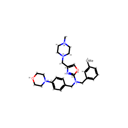 COc1cccc(CN(Cc2ccc(N3CCOCC3)cc2)c2nc(CN3CCN(C)CC3)co2)c1